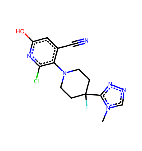 Cn1cnnc1C1(F)CCN(c2c(C#N)cc(O)nc2Cl)CC1